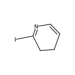 IC1=NC=CCC1